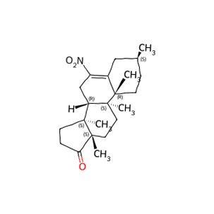 C[C@H]1CC[C@@]2(C)C(=C([N+](=O)[O-])C[C@@H]3[C@]2(C)CC[C@]2(C)C(=O)CC[C@@]32C)C1